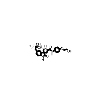 CC(C)(C)Cc1ccc2c(c1)C1(CNC(C(=O)Nc3ccc(OCCO)cc3)C1)C(=O)N2